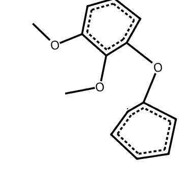 COc1cccc(Oc2[c]cccc2)c1OC